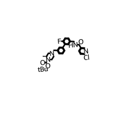 C[C@H]1CN(Cc2cccc(-c3cc(CNC(=O)c4ccc(Cl)nc4)ccc3F)c2)CCN1C(=O)OC(C)(C)C